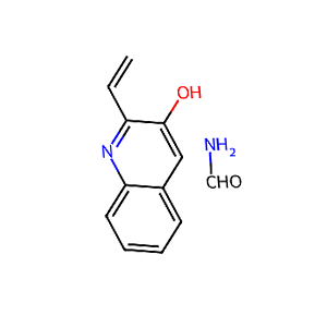 C=Cc1nc2ccccc2cc1O.NC=O